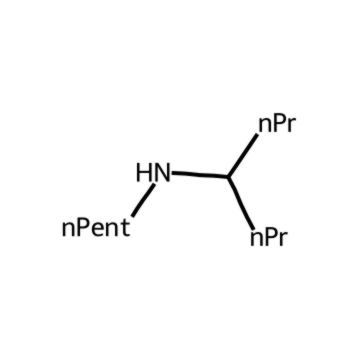 CCCCCNC(CCC)CCC